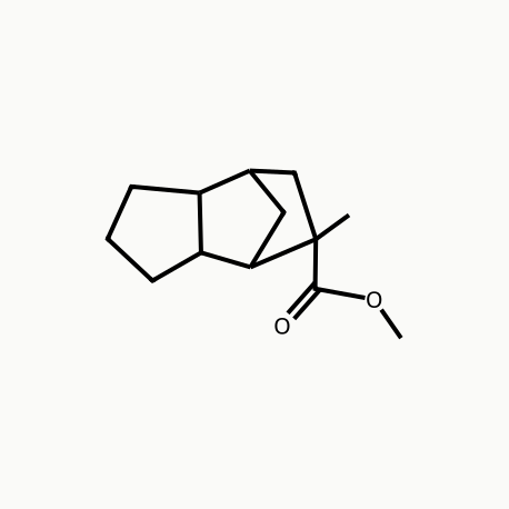 COC(=O)C1(C)CC2CC1C1CCCC21